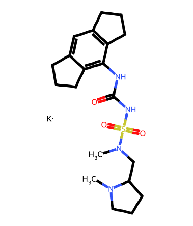 CN1CCCC1CN(C)S(=O)(=O)NC(=O)Nc1c2c(cc3c1CCC3)CCC2.[K]